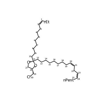 CC/C=C\CCCCCCCCC1(CCCCCCCC/C=C\C/C=C\CCCCC)OC[C@H](CCl)O1